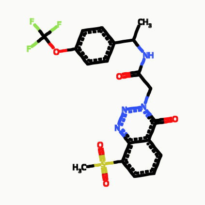 CC(NC(=O)Cn1nnc2c(S(C)(=O)=O)cccc2c1=O)c1ccc(OC(F)(F)F)cc1